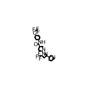 O=C(Nc1ccc(OC(F)(F)F)cc1)c1ccc(-n2nc(-c3cccnc3)cc2C(F)(F)F)nc1